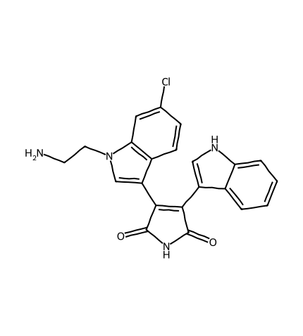 NCCn1cc(C2=C(c3c[nH]c4ccccc34)C(=O)NC2=O)c2ccc(Cl)cc21